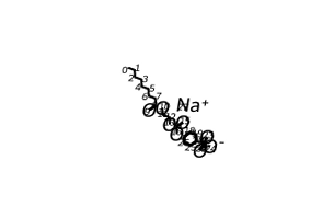 CCCCCCCCC(=O)OCCOC(=O)Oc1ccc(S(=O)(=O)[O-])cc1.[Na+]